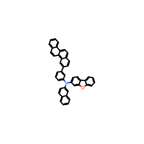 c1cc(-c2ccc3ccc4c5ccccc5ccc4c3c2)cc(N(c2ccc3ccccc3c2)c2ccc3c(c2)oc2ccccc23)c1